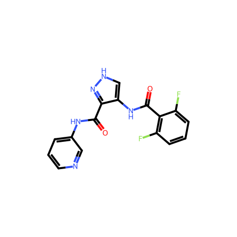 O=C(Nc1cccnc1)c1n[nH]cc1NC(=O)c1c(F)cccc1F